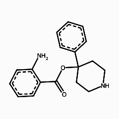 Nc1ccccc1C(=O)OC1(c2ccccc2)CCNCC1